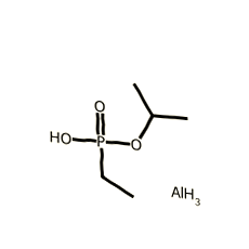 CCP(=O)(O)OC(C)C.[AlH3]